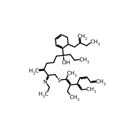 C=C\C=C/C(=C\C)C(/CC)=C(\C)SC/C(=N\CC)C(=C)CCC[C@@](O)(CCC)C1=CC=CCC1CC(=C)CC